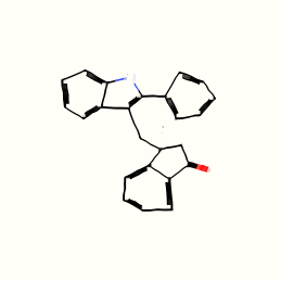 C[C@]1(Cc2c(-c3ccccc3)[nH]c3ccccc23)CC(=O)c2ccccc21